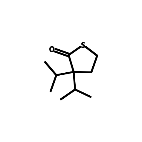 CC(C)C1(C(C)C)CCSC1=O